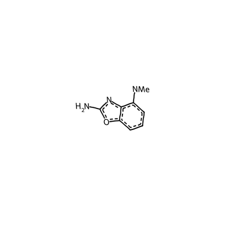 CNc1cccc2oc(N)nc12